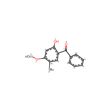 CCCCCCCCOc1cc(O)c(C(=O)c2ccccc2)cc1C(C)(C)C